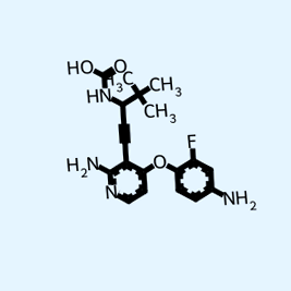 CC(C)(C)C(C#Cc1c(Oc2ccc(N)cc2F)ccnc1N)NC(=O)O